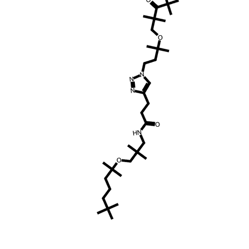 CC(C)(C)CCCC(C)(C)OCC(C)(C)CNC(=O)CCc1cn(CCC(C)(C)OCC(C)(C)C(=O)C(C)(C)C)nn1